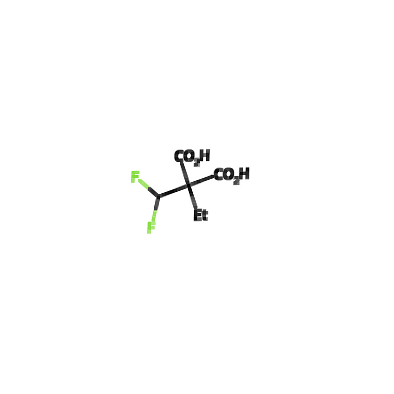 CCC(C(=O)O)(C(=O)O)C(F)F